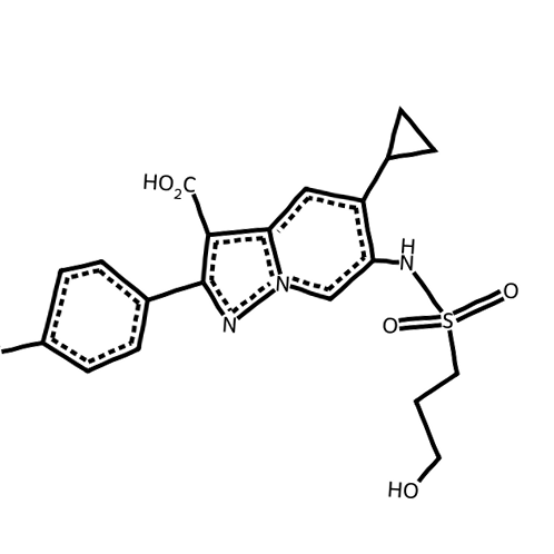 O=C(O)c1c(-c2ccc(F)cc2)nn2cc(NS(=O)(=O)CCCO)c(C3CC3)cc12